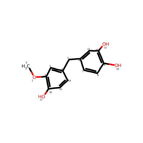 COc1cc(Cc2ccc(O)c(O)c2)ccc1O